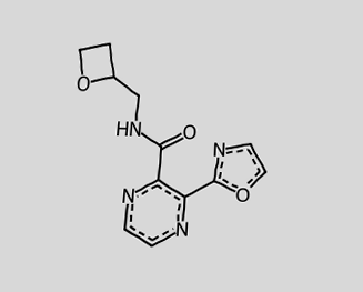 O=C(NCC1CCO1)c1nccnc1-c1ncco1